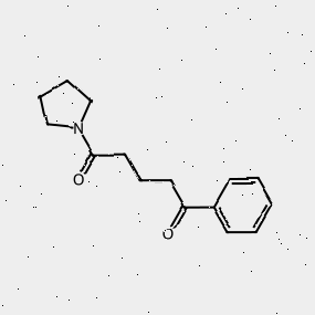 O=C(CCCC(=O)N1CCCC1)c1ccccc1